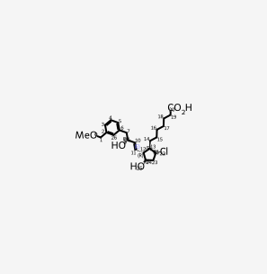 COCc1cccc(C[C@@H](O)/C=C/[C@@H]2[C@@H](CCCCCCC(=O)O)[C@H](Cl)C[C@H]2O)c1